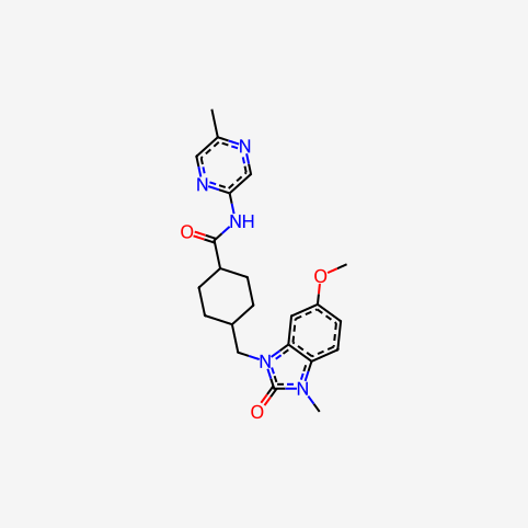 COc1ccc2c(c1)n(CC1CCC(C(=O)Nc3cnc(C)cn3)CC1)c(=O)n2C